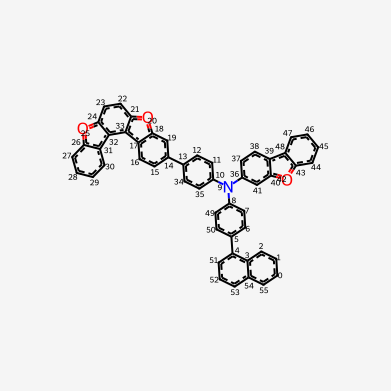 c1ccc2c(-c3ccc(N(c4ccc(-c5ccc6c(c5)oc5ccc7oc8ccccc8c7c56)cc4)c4ccc5c(c4)oc4ccccc45)cc3)cccc2c1